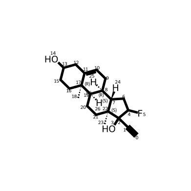 C#CC1(O)C(F)C[C@H]2[C@@H]3CC=C4CC(O)CC[C@]4(C)[C@@H]3CC[C@@]21C